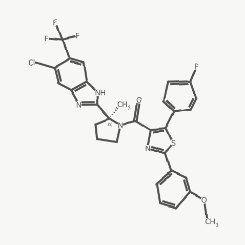 COc1cccc(-c2nc(C(=O)N3CCC[C@@]3(C)c3nc4cc(Cl)c(C(F)(F)F)cc4[nH]3)c(-c3ccc(F)cc3)s2)c1